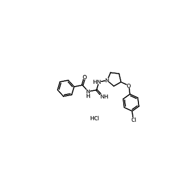 Cl.N=C(NC(=O)c1ccccc1)NN1CCC(Oc2ccc(Cl)cc2)C1